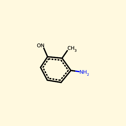 Cc1c(N)cccc1N=O